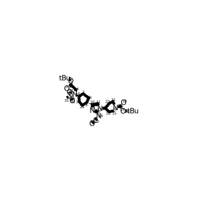 CC(C)(C)OC(=O)CN([C@H]1CC[C@H](c2cn(C3CCN(C(=O)OC(C)(C)C)CC3)c(N=C=O)n2)CC1)S(C)(=O)=O